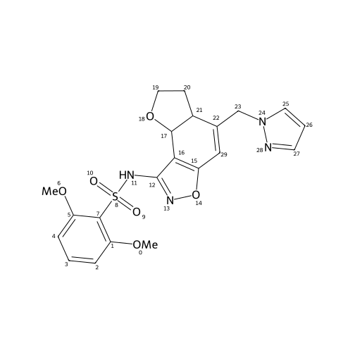 COc1cccc(OC)c1S(=O)(=O)Nc1noc2c1C1OCCC1C(Cn1cccn1)=C2